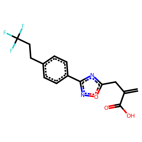 C=C(Cc1nc(-c2ccc(CCC(F)(F)F)cc2)no1)C(=O)O